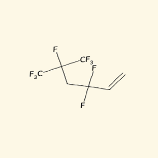 C=CC(F)(F)CC(F)(C(F)(F)F)C(F)(F)F